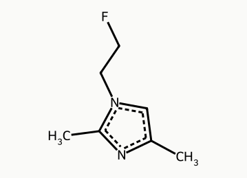 Cc1cn(CCF)c(C)n1